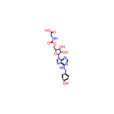 O=C(O)CNC(=O)OCC1OC(n2cnc3c(NCc4ccc(O)cc4)ncnc32)C(O)C1O